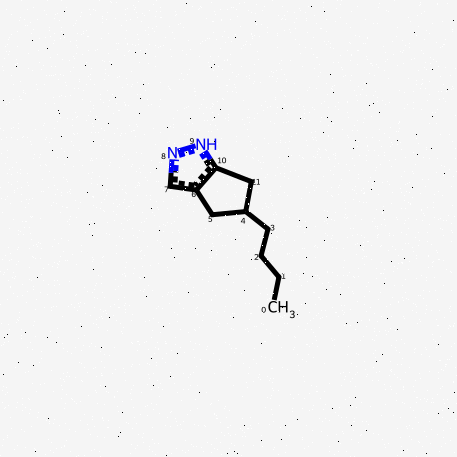 CCCCC1Cc2cn[nH]c2C1